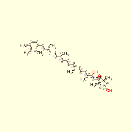 CC(/C=C/C=C(C)/C=C/c1ccc(C)c(C)c1C)=C\C=C\C=C(C)\C=C\C=C(C)\C(O)=C\C(=O)[C@]1(C)C[C@@H](O)CC1(C)C